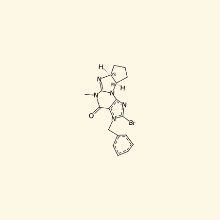 CN1C(=O)c2c(nc(Br)n2Cc2ccccc2)N2C1=N[C@H]1CCC[C@H]12